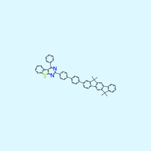 CC1(C)c2ccccc2-c2cc3c(cc21)-c1ccc(-c2ccc(-c4ccc(-c5nc(-c6ccccc6)c6c(n5)sc5ccccc56)cc4)cc2)cc1C3(C)C